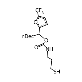 CCCCCCCCCCC(OC(=O)NCCCS)c1ccc(C(F)(F)F)o1